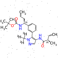 [2H]C([2H])([2H])n1ncc(NC(=O)[C@H](C)C=C)c1-c1cccc([C@H](CC=C)NC(=O)OC(C)(C)C)c1